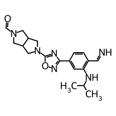 CC(C)Nc1cc(-c2noc(N3CC4CN(C=O)CC4C3)n2)ccc1C=N